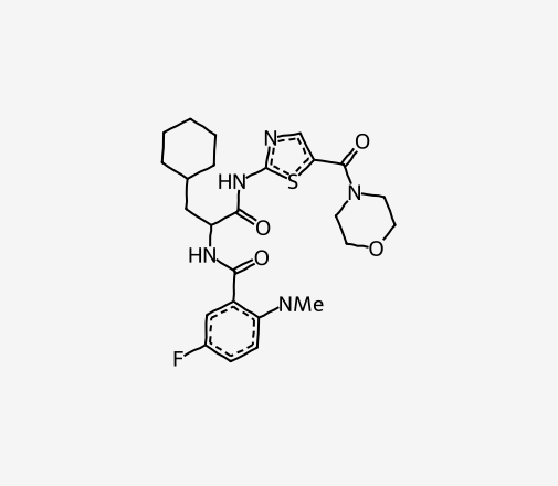 CNc1ccc(F)cc1C(=O)NC(CC1CCCCC1)C(=O)Nc1ncc(C(=O)N2CCOCC2)s1